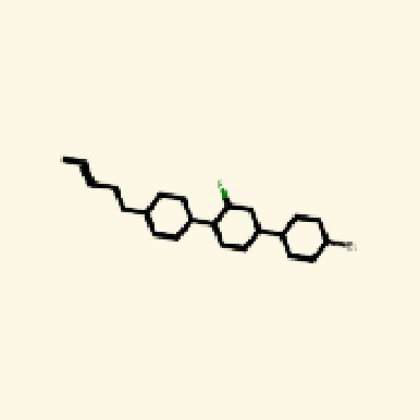 C/C=C/CCC1CCC(C2CCC(C3CCC(CC)CC3)CC2F)CC1